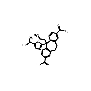 CC(C)c1nnc(C2(CCN)c3ccc(C(N)=O)cc3CCc3cc(C(N)=O)ccc32)o1